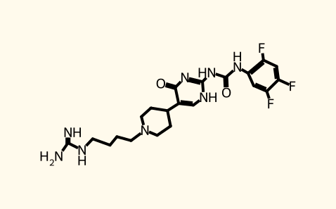 N=C(N)NCCCCN1CCC(c2c[nH]c(NC(=O)Nc3cc(F)c(F)cc3F)nc2=O)CC1